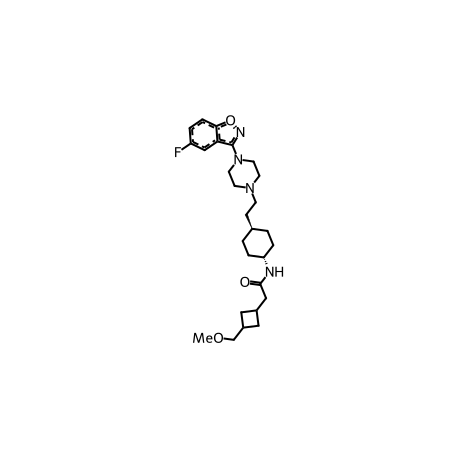 COCC1CC(CC(=O)N[C@H]2CC[C@H](CCN3CCN(c4noc5ccc(F)cc45)CC3)CC2)C1